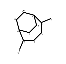 CC1CCC(I)C2CCC1CC2